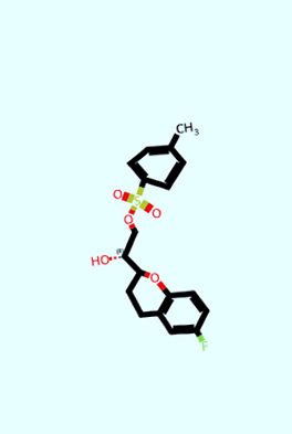 Cc1ccc(S(=O)(=O)OC[C@@H](O)C2CCc3cc(F)ccc3O2)cc1